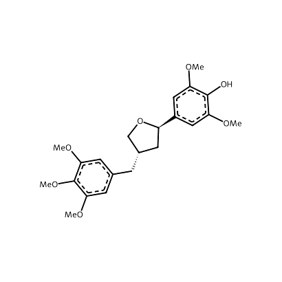 COc1cc([C@H]2C[C@H](Cc3cc(OC)c(OC)c(OC)c3)CO2)cc(OC)c1O